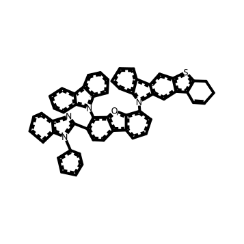 C1=Cc2c(sc3cc4c5ccccc5n(-c5cccc6c5oc5c(-n7c8ccccc8c8ccccc87)c(-c7nc8ccccc8n7-c7ccccc7)ccc56)c4cc23)CC1